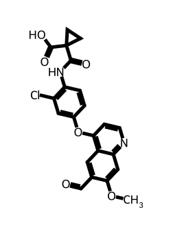 COc1cc2nccc(Oc3ccc(NC(=O)C4(C(=O)O)CC4)c(Cl)c3)c2cc1C=O